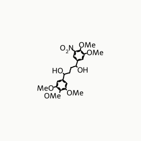 COc1cc(C(O)CCC(O)c2cc(OC)c(OC)c([N+](=O)[O-])c2)cc(OC)c1OC